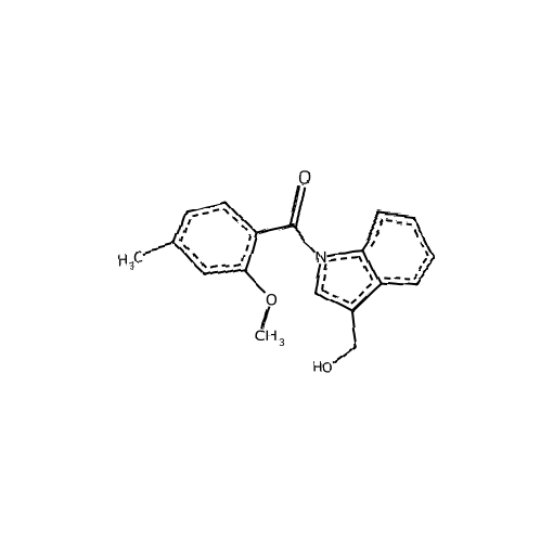 COc1cc(C)ccc1C(=O)n1cc(CO)c2ccccc21